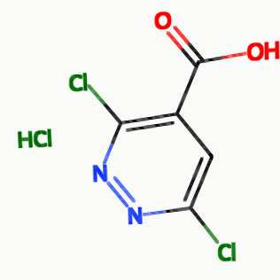 Cl.O=C(O)c1cc(Cl)nnc1Cl